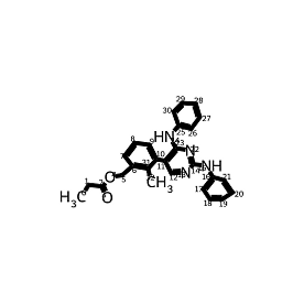 CCC(=O)OCc1cccc(-c2cnc(Nc3ccccc3)nc2Nc2ccccc2)c1C